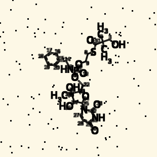 CC(C)(CO)C(=O)SCCOP(=O)(NCc1ccccc1)OC[C@H]1OC(n2ccc(=O)[nH]c2=O)C(O)[C@@]1(C)O